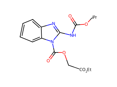 CCOC(=O)COC(=O)n1c(NC(=O)OC(C)C)nc2ccccc21